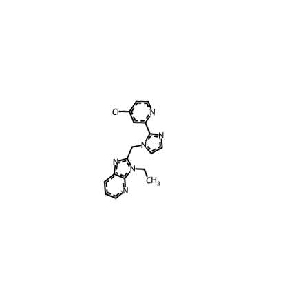 CCn1c(Cn2ccnc2-c2cc(Cl)ccn2)nc2cccnc21